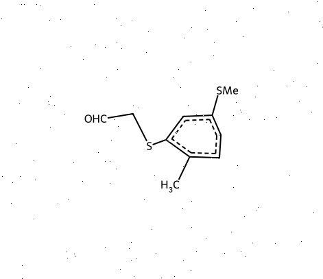 CSc1ccc(C)c(SCC=O)c1